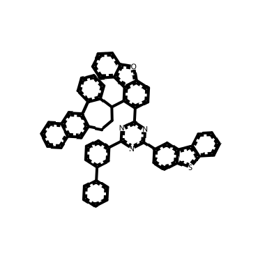 c1ccc(-c2cccc(-c3nc(-c4ccc5sc6ccccc6c5c4)nc(-c4ccc5oc6ccccc6c5c4C4CCc5cc6ccccc6cc5-c5ccccc54)n3)c2)cc1